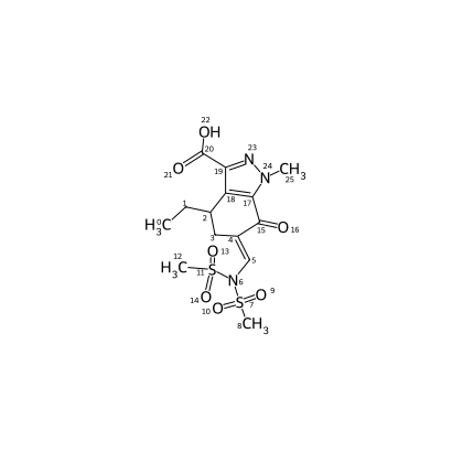 CCC1CC(=CN(S(C)(=O)=O)S(C)(=O)=O)C(=O)c2c1c(C(=O)O)nn2C